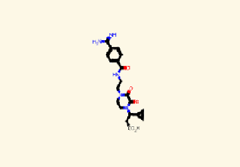 N=C(N)c1ccc(C(=O)NCCN2CCN(C(CC(=O)O)C3CC3)C(=O)C2=O)cc1